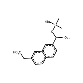 CCCCCCCCC(O[Si](C)(C)C(C)(C)C)c1ccc2ccc(CC(=O)O)cc2c1